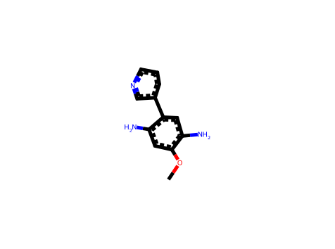 COc1cc(N)c(-c2cccnc2)cc1N